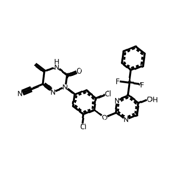 C=C1NC(=O)N(c2cc(Cl)c(Oc3ncc(O)c(C(F)(F)c4ccccc4)n3)c(Cl)c2)N=C1C#N